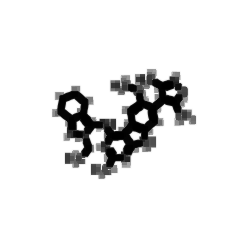 CCn1nc2c(c1Nc1nc(C)nc3[nH]c4cc(-c5c(C)noc5C)c(OC)cc4c13)CCCC2